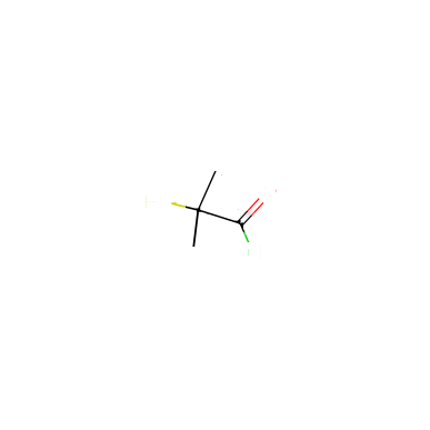 CC(C)(S)C(=O)Cl